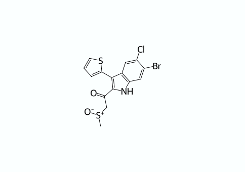 C[S+]([O-])CC(=O)c1[nH]c2cc(Br)c(Cl)cc2c1-c1cccs1